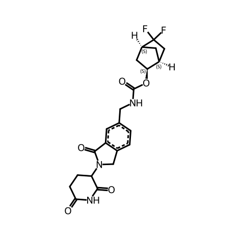 O=C1CCC(N2Cc3ccc(CNC(=O)O[C@H]4C[C@@H]5C[C@H]4CC5(F)F)cc3C2=O)C(=O)N1